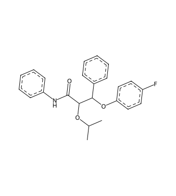 CC(C)OC(C(=O)Nc1ccccc1)C(Oc1ccc(F)cc1)c1ccccc1